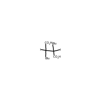 CC(C)(C)C(I)(C(=O)O)C(I)(C(=O)O)C(C)(C)C